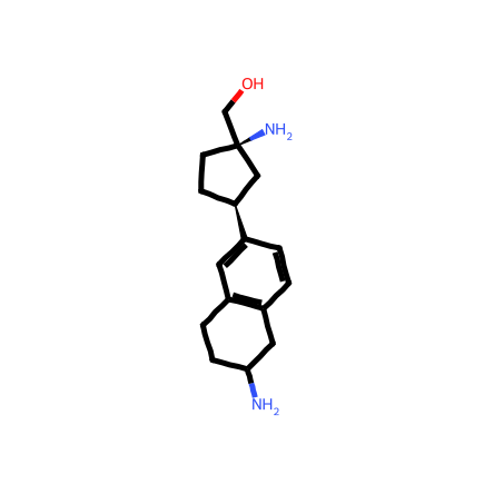 NC1CCc2cc([C@H]3CC[C@](N)(CO)C3)ccc2C1